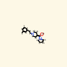 Cc1c[c]cc(CCN2CCC(C(=O)N3CCCC3)CC2)c1